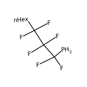 CCCCCCC(F)(F)C(F)(F)C(F)(F)P